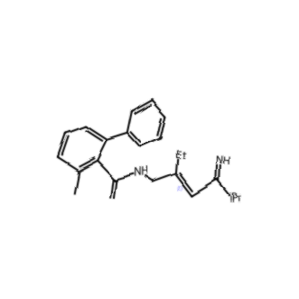 C=C(NC/C(=C/C(=N)C(C)C)CC)c1c(C)cccc1-c1ccccc1